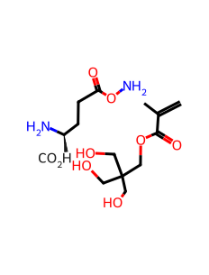 C=C(C)C(=O)OCC(CO)(CO)CO.NOC(=O)CC[C@H](N)C(=O)O